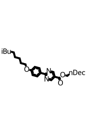 CCCCCCCCCCCOC(=O)c1cnc(-c2ccc(OCCCCCC(C)CC)cc2)nc1